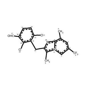 Cc1cc(C(F)(F)F)cn2c(C)c(Cc3c(Cl)ccc(C=O)c3Cl)nc12